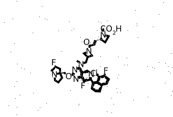 CN(CC1CN(C(=O)/C=C/[C@H]2CCN2C(=O)O)C1)c1nc(OC[C@@]23CCCN2C[C@H](F)C3)nc2c(F)c(-c3cccc4ccc(F)c(Cl)c34)ncc12